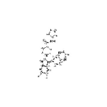 Cc1cc2nc(N3CCC(C(=O)NC4CCCC4)CC3)n(-c3ccc4nccnc4c3)c2cc1C